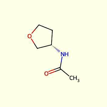 CC(=O)N[C@H]1CCOC1